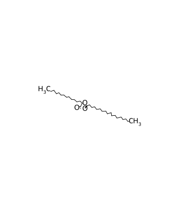 CCCCCCCCCCCCCCCCCC(=O)OC([C]=O)CCCCCCCCCCCCC